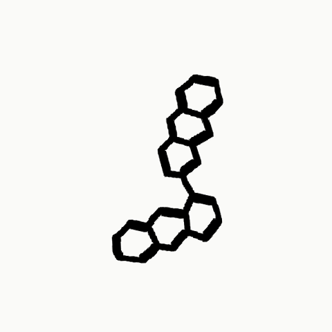 c1ccc2cc3cc(-c4cccc5cc6ccccc6cc45)ccc3cc2c1